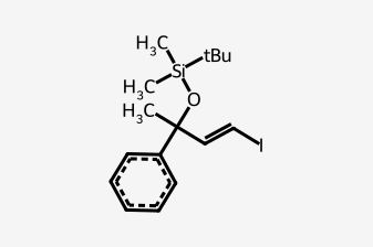 CC(C=CI)(O[Si](C)(C)C(C)(C)C)c1ccccc1